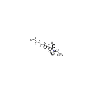 CCCCCCOCO/C(OC)=C(/CCC)OC